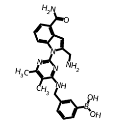 Cc1nc(-n2c(CN)cc3c(C(N)=O)cccc32)nc(NCc2cccc(B(O)O)c2)c1C